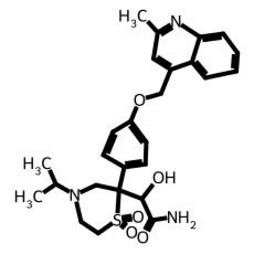 Cc1cc(COc2ccc(C3(C(O)C(N)=O)CN(C(C)C)CCS3(=O)=O)cc2)c2ccccc2n1